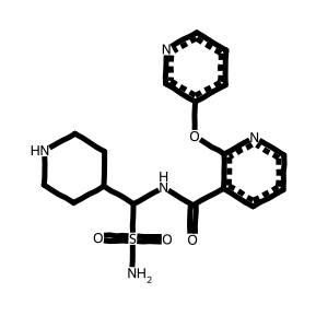 NS(=O)(=O)C(NC(=O)c1cccnc1Oc1cccnc1)C1CCNCC1